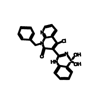 O=c1c(C2=NS(O)(O)c3ccccc3N2)c(Cl)c2cccnc2n1Cc1ccccc1